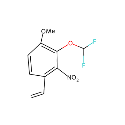 C=Cc1ccc(OC)c(OC(F)F)c1[N+](=O)[O-]